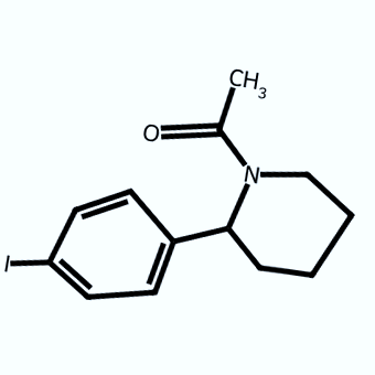 CC(=O)N1CCCCC1c1ccc(I)cc1